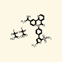 Cc1cc(-c2ccc(NC(=O)c3cccnc3-c3cccc(C(=N)N)c3)cc2)c(S(N)(=O)=O)s1.O=C(O)C(F)(F)F.O=C(O)C(F)(F)F